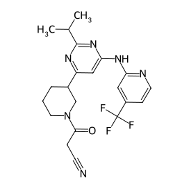 CC(C)c1nc(Nc2cc(C(F)(F)F)ccn2)cc(C2CCCN(C(=O)CC#N)C2)n1